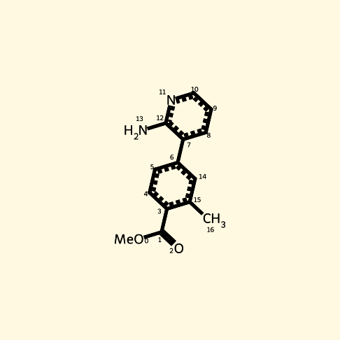 COC(=O)c1ccc(-c2cccnc2N)cc1C